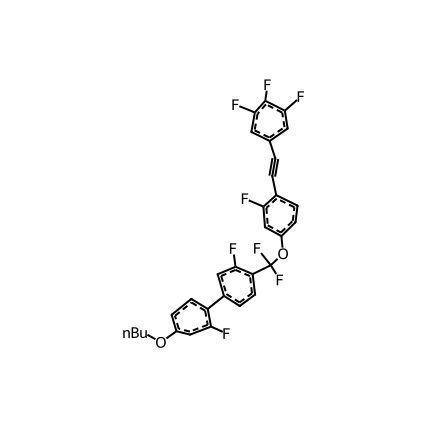 CCCCOc1ccc(-c2ccc(C(F)(F)Oc3ccc(C#Cc4cc(F)c(F)c(F)c4)c(F)c3)c(F)c2)c(F)c1